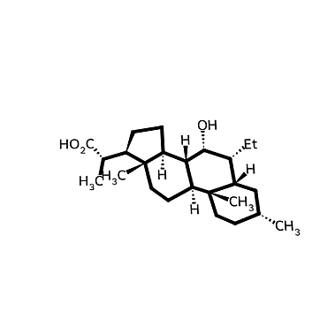 CC[C@H]1[C@@H](O)[C@@H]2[C@H](CC[C@]3(C)[C@@H]([C@H](C)C(=O)O)CC[C@@H]23)[C@@]2(C)CC[C@@H](C)C[C@@H]12